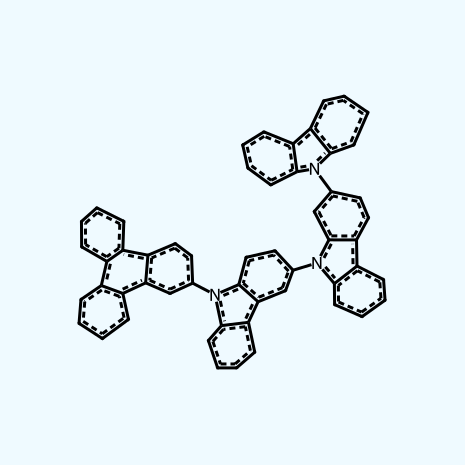 c1ccc2c(c1)c1ccccc1c1cc(-n3c4ccccc4c4cc(-n5c6ccccc6c6ccc(-n7c8ccccc8c8ccccc87)cc65)ccc43)ccc21